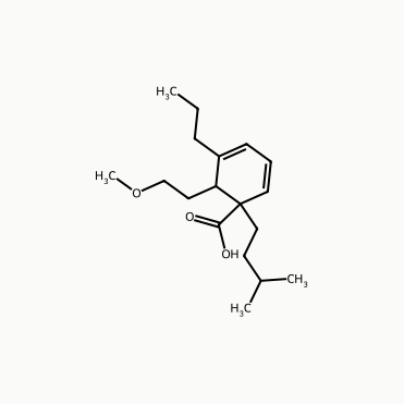 CCCC1=CC=CC(CCC(C)C)(C(=O)O)C1CCOC